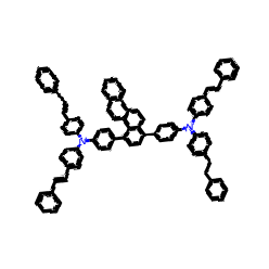 C(=Cc1ccc(N(c2ccc(C=Cc3ccccc3)cc2)c2ccc(-c3ccc(-c4ccc(N(c5ccc(C=Cc6ccccc6)cc5)c5ccc(C=Cc6ccccc6)cc5)cc4)c4c3ccc3c5ccccc5ccc34)cc2)cc1)c1ccccc1